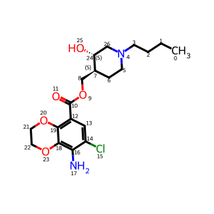 CCCCN1CC[C@@H](COC(=O)c2cc(Cl)c(N)c3c2OCCO3)[C@H](O)C1